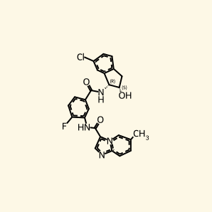 Cc1ccc2ncc(C(=O)Nc3cc(C(=O)N[C@@H]4c5cc(Cl)ccc5C[C@@H]4O)ccc3F)n2c1